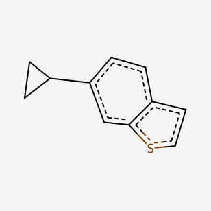 c1cc2ccc(C3CC3)cc2s1